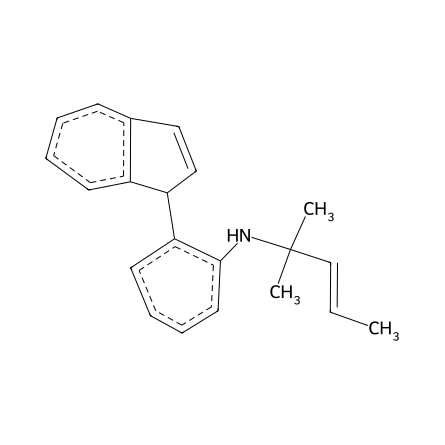 CC=CC(C)(C)Nc1ccccc1C1C=Cc2ccccc21